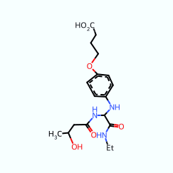 CCNC(=O)C(NC(=O)CC(C)O)Nc1ccc(OCCCC(=O)O)cc1